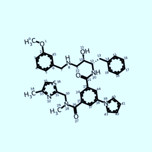 COc1cccc(CNC[C@@H](O)[C@H](Cc2ccccc2)NC(=O)c2cc(C(=O)N(C)Cc3nc(C)cs3)cc(-n3cccc3)c2)c1